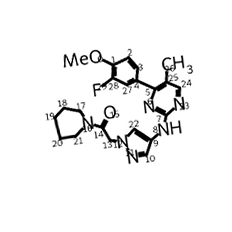 COc1ccc(-c2nc(Nc3cnn(CC(=O)N4CCCCC4)c3)ncc2C)cc1F